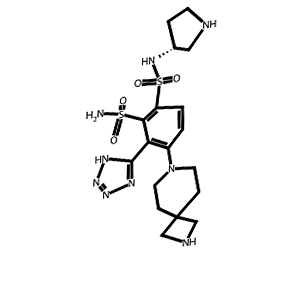 NS(=O)(=O)c1c(S(=O)(=O)N[C@@H]2CCNC2)ccc(N2CCC3(CC2)CNC3)c1-c1nnn[nH]1